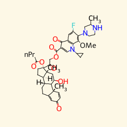 CCCC(=O)O[C@@]1(C(=O)COC(=O)c2cn(C3CC3)c3c(OC)c(N4CCNC(C)C4)c(F)cc3c2=O)CC[C@@H]2[C@H]3CCC4=CC(=O)C=C[C@@]4(C)C3[C@H](O)C[C@]21C